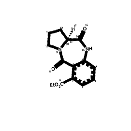 CCOC(=O)c1cccc2c1C(=O)N1CCC[C@H]1C(=O)N2